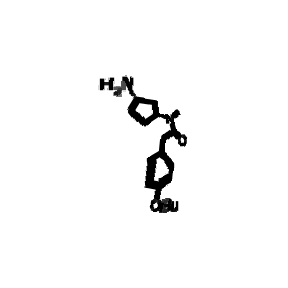 CC(C)COc1ccc(CC(=O)N(C)[C@H]2CC[C@H](N)C2)cc1